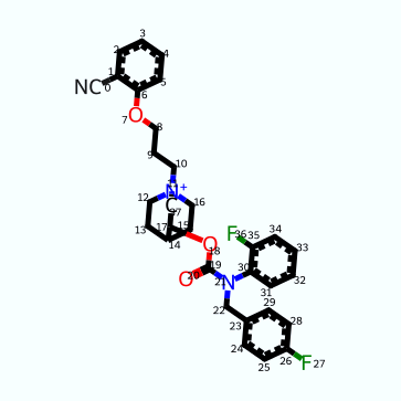 N#Cc1ccccc1OCCC[N+]12CCC(CC1)C(OC(=O)N(Cc1ccc(F)cc1)c1ccccc1F)C2